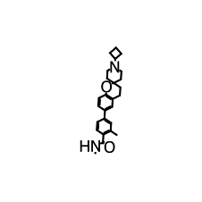 CNC(=O)c1ccc(-c2ccc3c(c2)CCC2(CCN(C4CCC4)CC2)O3)cc1C